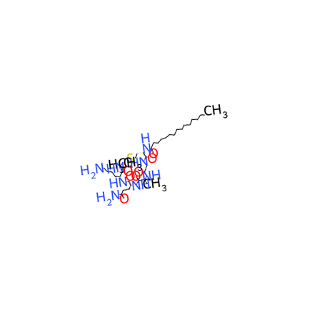 CCCCCCCCCCCCCCCC(=O)N[C@@H](CCSC)C(=O)NCC(=O)N[C@@H](C)C(=O)N[C@@H](CCC(N)=O)C(=O)N[C@@H](CCCCN)C(=O)NC